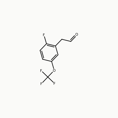 O=CCc1cc(OC(F)(F)F)ccc1F